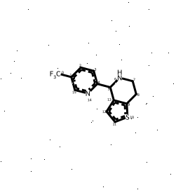 FC(F)(F)c1ccc(C2NCCc3sccc32)nc1